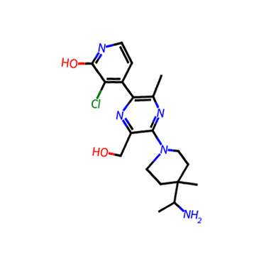 Cc1nc(N2CCC(C)(C(C)N)CC2)c(CO)nc1-c1ccnc(O)c1Cl